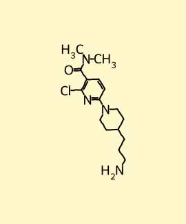 CN(C)C(=O)c1ccc(N2CCC(CCCN)CC2)nc1Cl